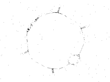 N=C1CCCCC(=N)NNc2nnc(nn2)NNC(=N)CCCCC(=N)NNc2nnc(nn2)NN1